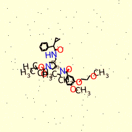 COCCCOc1cc(C(=O)N(C[C@@H]2CN(C(=O)OC(C)(C)C)C[C@H]2CNC(=O)C(c2ccccc2)C2CC2)C(C)C)ccc1OC